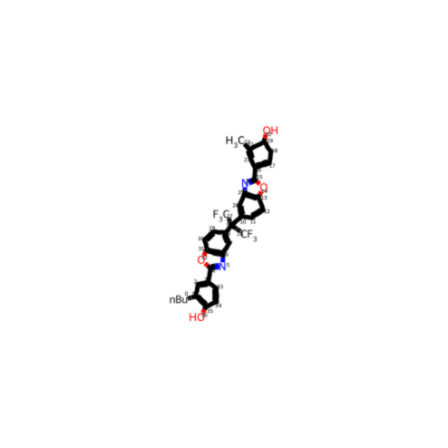 CCCCc1cc(-c2nc3cc(C(c4ccc5oc(C6=CCC(O)C(C)=C6)nc5c4)(C(F)(F)F)C(F)(F)F)ccc3o2)ccc1O